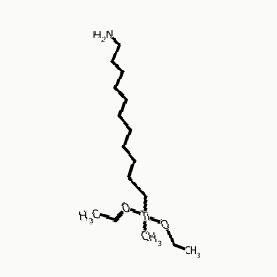 CC[O][Ti]([CH3])([CH2]CCCCCCCCCCN)[O]CC